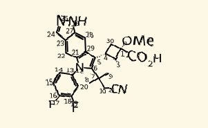 CO[C@]1(C(=O)O)C[C@H](c2c(C(C)(C)CC#N)n(-c3ccc(F)c(F)c3)c3cc4cn[nH]c4cc32)C1